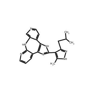 Cc1[nH]nc(CC(C)C)c1-c1nc2c([nH]1)-c1ccncc1Nc1ncccc1-2